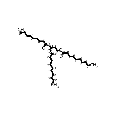 CCCCCCCCCC(=O)OCCC(OC(=O)CCCCCCCCC)OC(=O)CCCCCCCCC